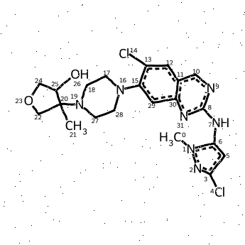 Cn1nc(Cl)cc1Nc1ncc2cc(Cl)c(N3CCN(C4(C)COCC4O)CC3)cc2n1